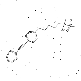 CC(=O)C(C)(CCCCCc1ccc(C#Cc2ccccc2)cc1)S(C)(=O)=O